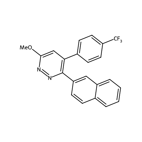 COc1cc(-c2ccc(C(F)(F)F)cc2)c(-c2ccc3ccccc3c2)nn1